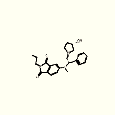 CCCN1C(=O)c2ccc(N(C)[C@H](CN3CC[C@H](O)C3)c3ccccc3)cc2C1=O